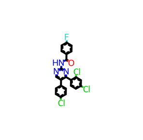 O=C(Nc1ncc(-c2ccc(Cl)cc2)c(-c2ccc(Cl)cc2Cl)n1)c1ccc(F)cc1